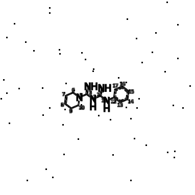 N=C(NC(=N)N1CC=CCC1)Nc1ccccc1